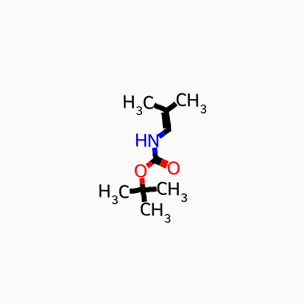 CC(C)=CNC(=O)OC(C)(C)C